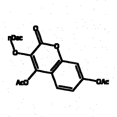 CCCCCCCCCCOc1c(OC(C)=O)c2ccc(OC(C)=O)cc2oc1=O